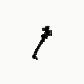 NCCCOCCOCCCCCOCCOCCCNc1ncnc2c1ncn2C1OC(COP(=O)(O)O)C(O)C1O